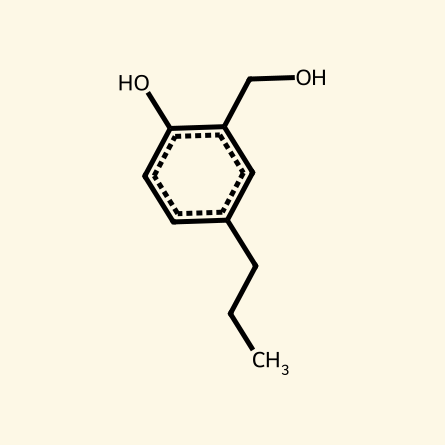 CCCc1ccc(O)c(CO)c1